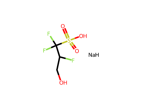 O=S(=O)(O)C(F)(F)C(F)CO.[NaH]